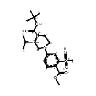 COC(=O)c1ccc(N2CCN(C(=O)OC(C)(C)C)[C@H](C(C)C)C2)cc1S(C)(=O)=O